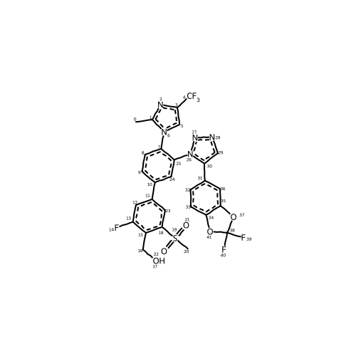 Cc1nc(C(F)(F)F)cn1-c1ccc(-c2cc(F)c(CO)c(S(C)(=O)=O)c2)cc1-n1nncc1-c1ccc2c(c1)OC(F)(F)O2